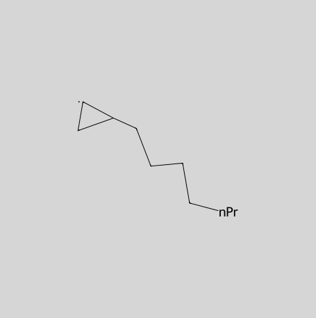 CCCCCCCC1[CH]C1